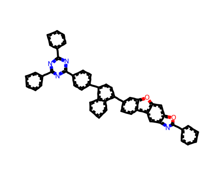 c1ccc(-c2nc(-c3ccccc3)nc(-c3ccc(-c4ccc(-c5ccc6c(c5)oc5cc7oc(-c8ccccc8)nc7cc56)c5ccccc45)cc3)n2)cc1